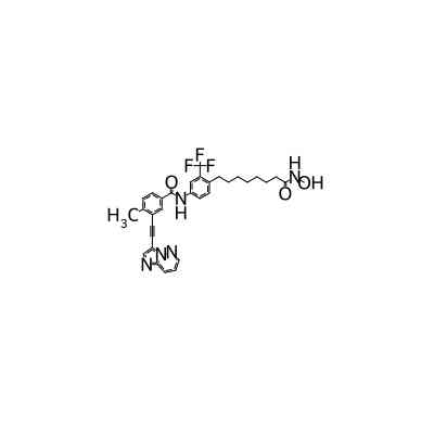 Cc1ccc(C(=O)Nc2ccc(CCCCCCCC(=O)NO)c(C(F)(F)F)c2)cc1C#Cc1cnc2cccnn12